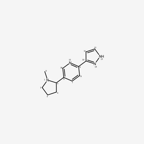 CN1CCCC1c1ccc(-c2cc[nH]n2)nc1